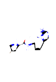 Cn1c(/C=C\CNC(=O)c2cc(Br)c[nH]2)cnc1N